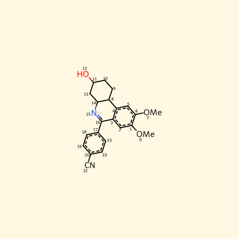 COc1cc2c(cc1OC)C1CCC(O)CC1N=C2c1ccc(C#N)cc1